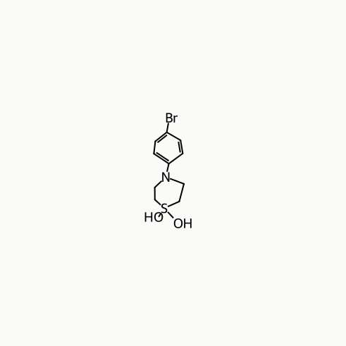 OS1(O)CCN(c2ccc(Br)cc2)CC1